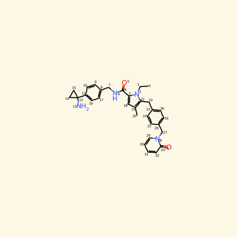 CCn1c(C(=O)NCc2ccc(C3(N)CC3)cc2)cc(C)c1Cc1ccc(Cn2ccccc2=O)cc1